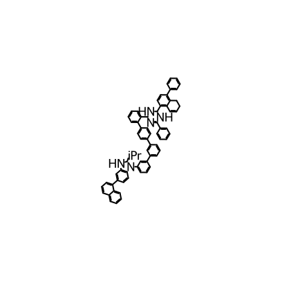 CC(C)C1Nc2cc(-c3cccc4ccccc34)ccc2N1c1cccc(-c2cccc(-c3ccc(-c4ccccc4C4N=C(c5ccccc5)NC(c5ccc(-c6ccccc6)c6c5C=CCC6)N4)cc3)c2)c1